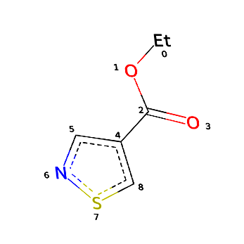 CCOC(=O)c1cnsc1